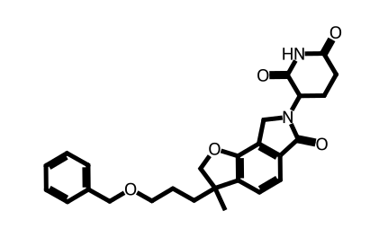 CC1(CCCOCc2ccccc2)COc2c1ccc1c2CN(C2CCC(=O)NC2=O)C1=O